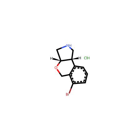 Brc1cccc2c1CO[C@@H]1CNC[C@H]21.Cl